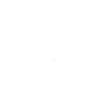 CCCNC(C)COc1c(Cl)cc(Cl)cc1Cl